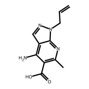 C=CCn1ncc2c(N)c(C(=O)O)c(C)nc21